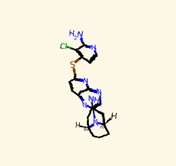 Nc1nccc(Sc2ccc3nc(N4[C@@H]5CCC[C@H]4CC(N)C5)cnc3n2)c1Cl